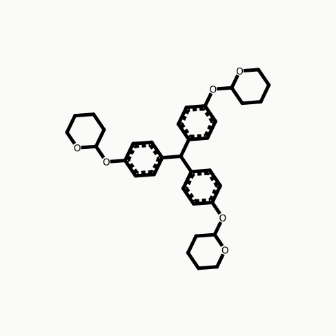 c1cc(C(c2ccc(OC3CCCCO3)cc2)c2ccc(OC3CCCCO3)cc2)ccc1OC1CCCCO1